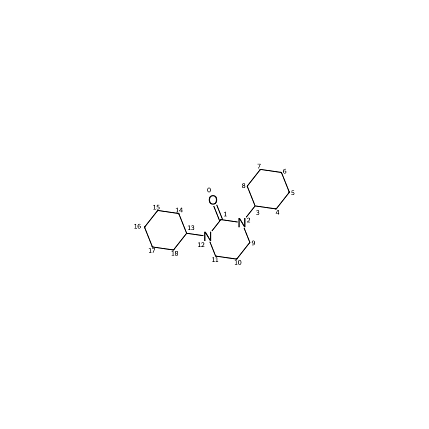 O=C1N(C2CCCCC2)CCCN1C1CCCCC1